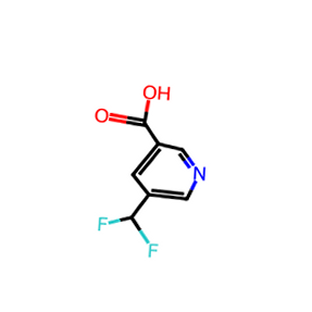 O=C(O)c1cncc(C(F)F)c1